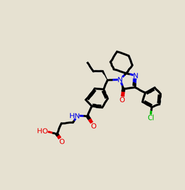 CCC[C@H](c1ccc(C(=O)NCCC(=O)O)cc1)N1C(=O)C(c2cccc(Cl)c2)=NC12CCCCC2